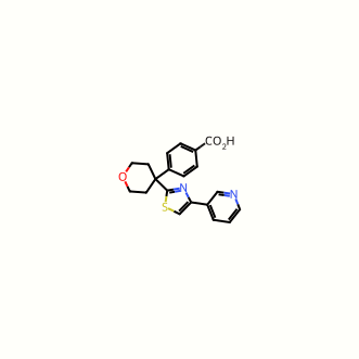 O=C(O)c1ccc(C2(c3nc(-c4cccnc4)cs3)CCOCC2)cc1